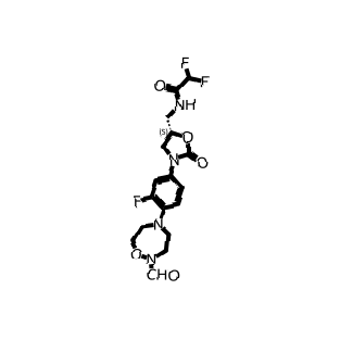 O=CN1CCN(c2ccc(N3C[C@H](CNC(=O)C(F)F)OC3=O)cc2F)CCO1